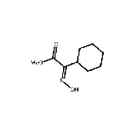 COC(=O)/C(=N/O)C1CCCCC1